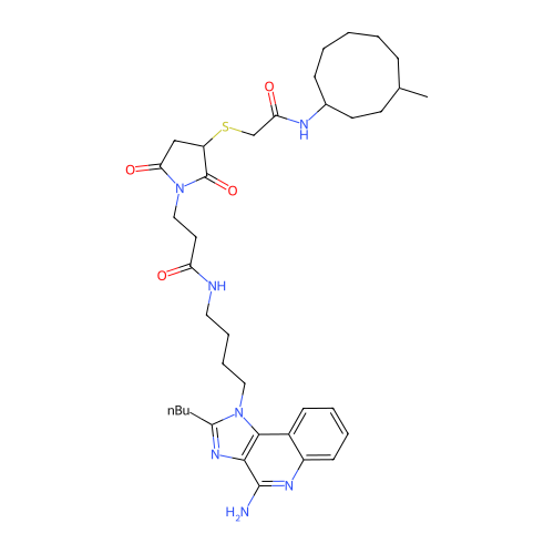 CCCCc1nc2c(N)nc3ccccc3c2n1CCCCNC(=O)CCN1C(=O)CC(SCC(=O)NC2CCCCCC(C)CC2)C1=O